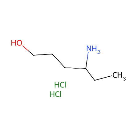 CCC(N)CCCO.Cl.Cl